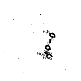 Nc1cccc(OCCOc2ccc(S(=O)(=O)C3(C(=O)NO)CCOCC3)cc2)c1